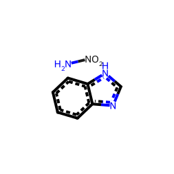 N[N+](=O)[O-].c1ccc2[nH]cnc2c1